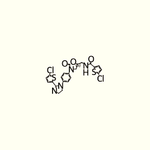 O=C(NC[C@H]1CN(c2ccc(N3CCN=C3c3ccc(Cl)s3)cc2)C(=O)O1)c1ccc(Cl)s1